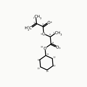 C=C(C)C(=O)OC(C)C(=O)OC1CCCCC1